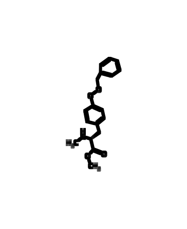 CN[C@@H](Cc1ccc(OOCc2ccccc2)cc1)C(=O)OC